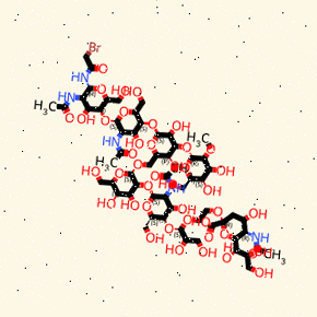 COC1C(O)[C@H](O)[C@@H](CO)O[C@@H]1OC1C(O)[C@H](O[C@@H]2C(CO)O[C@@H](O[C@@H]3C(CO)O[C@@H](NC(=O)CBr)C(NC(C)=O)C3O)C(NC(C)=O)C2O)OC(CO[C@H]2OC(CO)[C@@H](O)C(O)C2O[C@@H]2O[C@@H](CO)[C@@H](O[C@H](OCCO[C@]3(C(=O)O)CC(O)[C@@H](NC(C)=O)C([C@H](O)C(O)CO)O3)C(O)CO)C(O)C2NC(C)=O)[C@H]1O